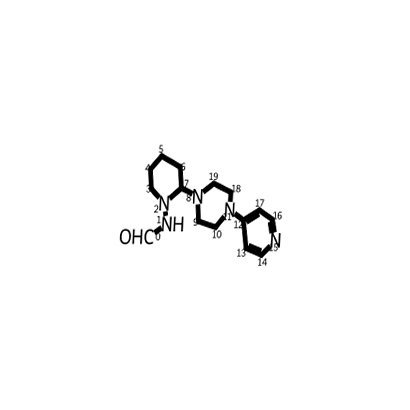 O=CNN1CCCCC1N1CCN(c2ccncc2)CC1